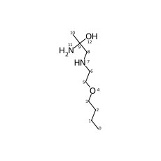 CCCCOCCNCC(C)(N)O